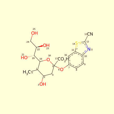 CC1C(O)CC(Oc2ccc3nc(C#N)sc3c2)(C(=O)O)OC1[C@H](O)[C@H](O)CO